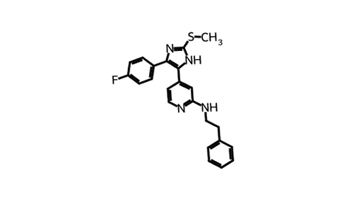 CSc1nc(-c2ccc(F)cc2)c(-c2ccnc(NCCc3ccccc3)c2)[nH]1